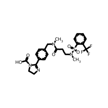 CN(Cc1ccc(C2=NCCN2C(=O)O)cc1)C(=O)CCN(C)S(=O)(=O)c1ccccc1C(F)(F)F